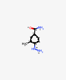 Cc1cc(C(N)=O)ccc1NN